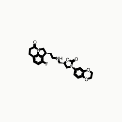 O=C1O[C@H](CNCC[C@@H]2CN3C(=O)CCc4ccc(F)c2c43)CN1c1ccc2c(c1)OCCO2